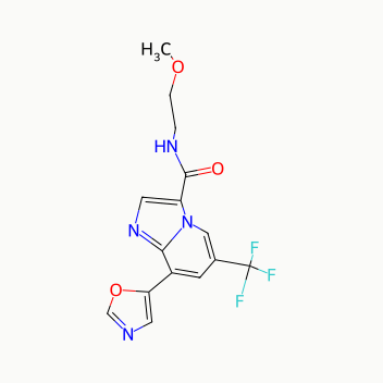 COCCNC(=O)c1cnc2c(-c3cnco3)cc(C(F)(F)F)cn12